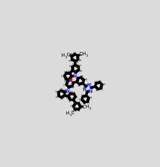 Cc1cc(C)cc(-c2ccc3c(c2)c2ccccc2n3-c2ccnc(-c3cc(-c4nc(-c5ccccc5)nc(-c5ccccc5)n4)ccc3-n3c4ccccc4c4cc(-c5cc(C)cc(C)c5)ccc43)c2)c1